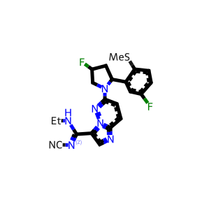 CCN/C(=N\C#N)c1cnc2ccc(N3CC(F)CC3c3cc(F)ccc3SC)nn12